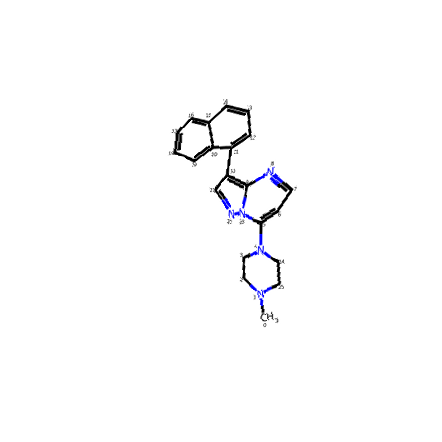 CN1CCN(c2ccnc3c(-c4cccc5ccccc45)cnn23)CC1